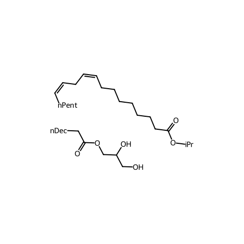 CCCCC/C=C\C/C=C\CCCCCCCC(=O)OC(C)C.CCCCCCCCCCCC(=O)OCC(O)CO